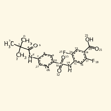 CC(C)(C)C(=O)Nc1ccc(S(=O)(=O)Nc2cc(F)c(C(=O)O)cc2F)nc1